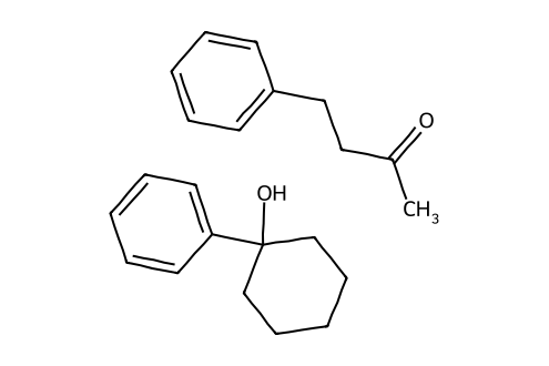 CC(=O)CCc1ccccc1.OC1(c2ccccc2)CCCCC1